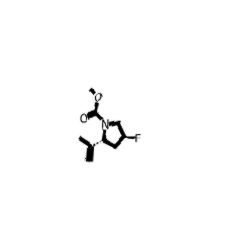 C=C(C)[C@H]1C[C@H](F)CN1C(=O)OC